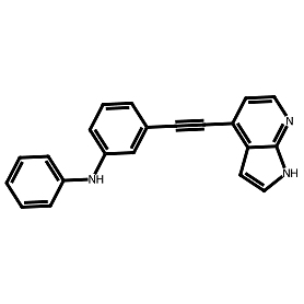 C(#Cc1ccnc2[nH]ccc12)c1cccc(Nc2ccccc2)c1